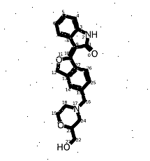 O=C1Nc2ccccc2C1=C1OCc2cc(CN3CCOC(CO)C3)ccc21